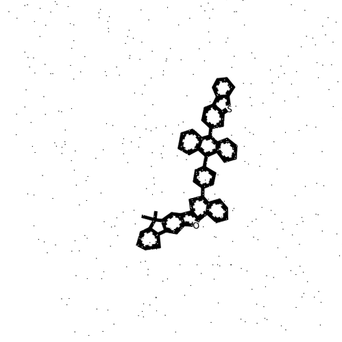 CC1(C)c2ccccc2-c2cc3oc4c5ccccc5c(-c5ccc(-c6c7ccccc7c(-c7ccc8c(c7)sc7ccccc78)c7ccccc67)cc5)cc4c3cc21